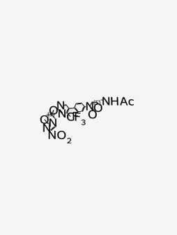 CC(=O)NC[C@H]1CN(c2ccc(-c3cnc(O[C@@H]4COc5nc([N+](=O)[O-])cn5C4)nc3C(F)(F)F)c(F)c2)C(=O)O1